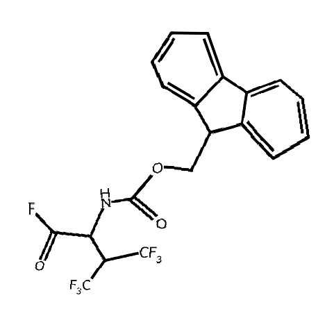 O=C(NC(C(=O)F)C(C(F)(F)F)C(F)(F)F)OCC1c2ccccc2-c2ccccc21